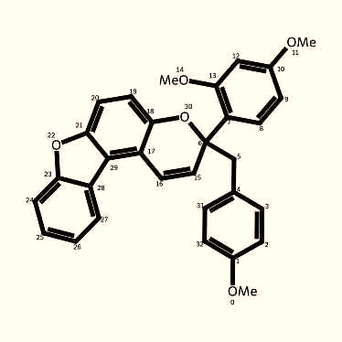 COc1ccc(CC2(c3ccc(OC)cc3OC)C=Cc3c(ccc4oc5ccccc5c34)O2)cc1